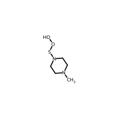 CN1CCN(SOO)CC1